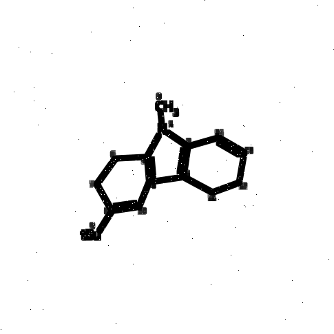 Cn1c2c(c3c1CCC(C(C)(C)C)=C3)CCC=C2